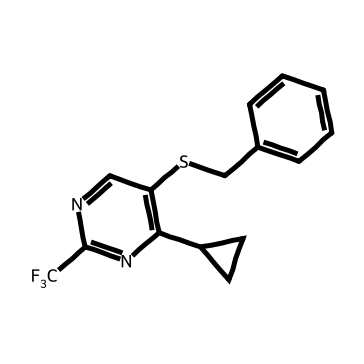 FC(F)(F)c1ncc(SCc2ccccc2)c(C2CC2)n1